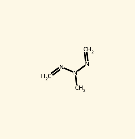 C=NN(C)N=C